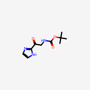 CC(C)(C)OC(=O)NCC(=O)c1ncc[nH]1